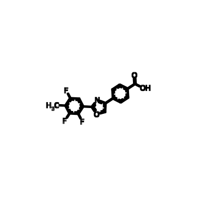 Cc1c(F)cc(-c2nc(-c3ccc(C(=O)O)cc3)co2)c(F)c1F